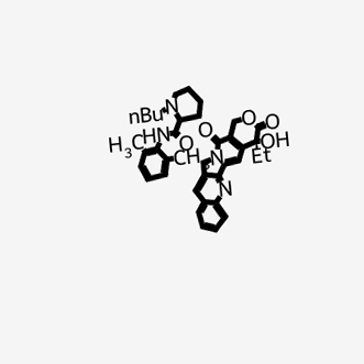 CCCCN1CCCCC1C(=O)Nc1c(C)cccc1C.CC[C@@]1(O)C(=O)OCc2c1cc1n(c2=O)Cc2cc3ccccc3nc2-1